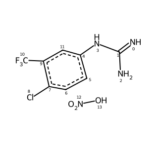 N=C(N)Nc1ccc(Cl)c(C(F)(F)F)c1.O=[N+]([O-])O